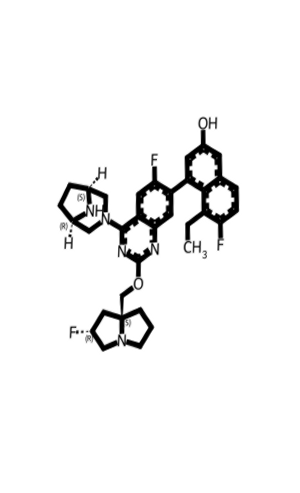 CCc1c(F)ccc2cc(O)cc(-c3cc4nc(OC[C@@]56CCCN5C[C@H](F)C6)nc(N5C[C@H]6CC[C@@H](C5)N6)c4cc3F)c12